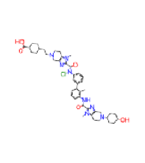 Cc1c(NC(=O)c2nc3c(n2C)CCN(C2CCC(O)CC2)C3)cccc1-c1cccc(N(Cl)C(=O)c2nc3c(n2C)CCN(CCC2CCC(C(=O)O)CC2)C3)c1